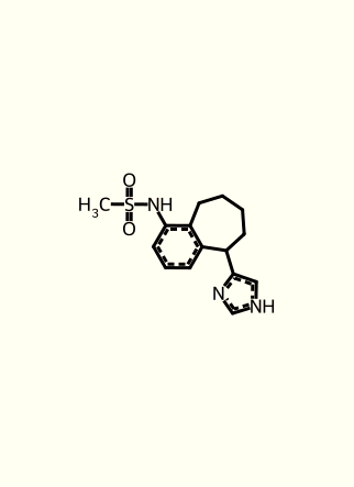 CS(=O)(=O)Nc1cccc2c1CCCCC2c1c[nH]cn1